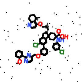 COc1ccccc1-c1nccc(COc2cccc(-c3cc4c(cc3Cl)C[C@H](C[C@@H](C)COc3ccnc5c3[C@H](C)CCC5)C43CCC(Nc4cccc(Cl)c4)(C(=O)O)CC3)c2)n1